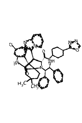 CC1(C)CCC2(CC1)N([C@H](c1ccccc1)[C@@H](O)c1ccccc1)[C@@H](C(=O)NC1CCC(c3nnco3)CC1)[C@H](c1cnc3ccccn13)[C@@]21C(=O)Nc2cc(Cl)ccc21